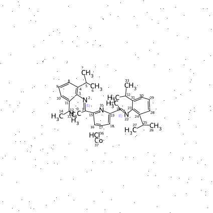 C/C(=N\c1c(C(C)C)cccc1C(C)C)c1cccc(/C(C)=N/c2c(C(C)C)cccc2C(C)C)n1.Cl.[Co]